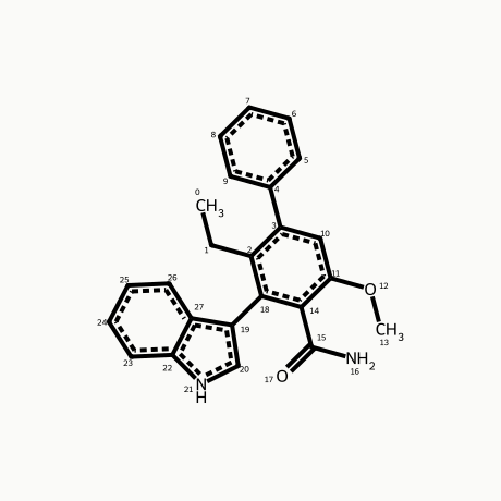 CCc1c(-c2ccccc2)cc(OC)c(C(N)=O)c1-c1c[nH]c2ccccc12